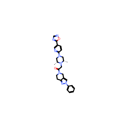 C[C@@H]1CN(c2ccc(-c3ncno3)cn2)C[C@H](C)N1CC(=O)N1CCc2nn(-c3ccccc3)cc2C1